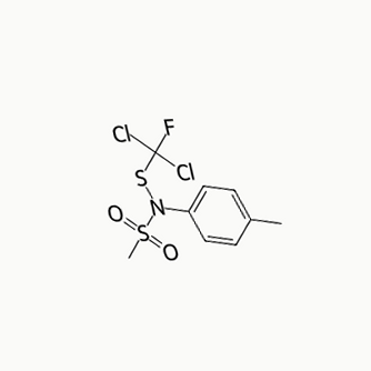 Cc1ccc(N(SC(F)(Cl)Cl)S(C)(=O)=O)cc1